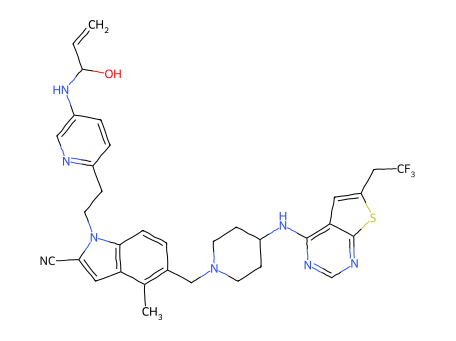 C=CC(O)Nc1ccc(CCn2c(C#N)cc3c(C)c(CN4CCC(Nc5ncnc6sc(CC(F)(F)F)cc56)CC4)ccc32)nc1